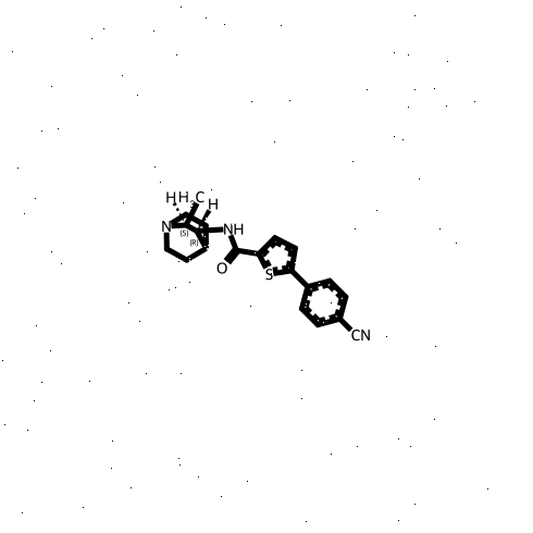 C[C@H]1[C@H](NC(=O)c2ccc(-c3ccc(C#N)cc3)s2)C2CCN1CC2